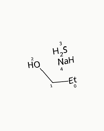 CCCO.S.[NaH]